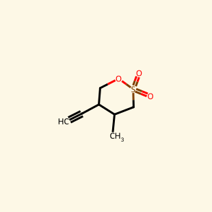 C#CC1COS(=O)(=O)CC1C